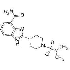 CN(C)S(=O)(=O)N1CCC(c2nc3c(C(N)=O)cccc3[nH]2)CC1